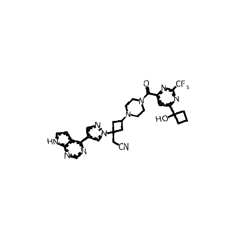 N#CCC1(n2cc(-c3ncnc4[nH]ccc34)cn2)CC(N2CCN(C(=O)c3cc(C4(O)CCC4)nc(C(F)(F)F)n3)CC2)C1